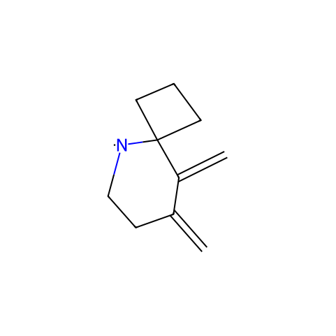 C=C1CC[N]C2(CCC2)C1=C